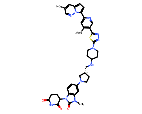 CNc1cc(-c2ccc3cc(C#N)cnn23)ncc1-c1nnc(N2CCC(NC[C@@H]3CCN(c4ccc5c(c4)n(C)c(=O)n5C4CCC(=O)NC4=O)C3)CC2)s1